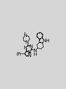 CC(C)c1cnn2c(NC3CCc4[nH]c5ccccc5c4C3)nc(N3CCN(C)CC3)nc12